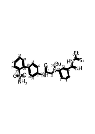 CCC(=S)NC(=N)c1cccc(N(CC(=O)Nc2ccc(-c3ccccc3S(N)(=O)=O)cc2)C(C)CC)c1